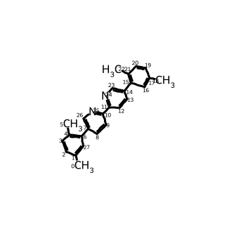 Cc1ccc(C)c(-c2ccc(-c3ccc(-c4cc(C)ccc4C)cn3)nc2)c1